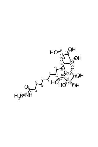 NNC(=O)CCCCCCCCO[C@H]1O[C@H](CO)[C@@H](O)[C@H](O)[C@@H]1O[C@@H]1O[C@H](CO)[C@@H](O)[C@H](O)[C@@H]1O